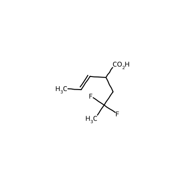 CC=CC(CC(C)(F)F)C(=O)O